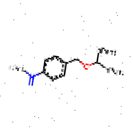 CCCCCCCCNc1ccc(COC(CCCCC)CCCCC)cc1